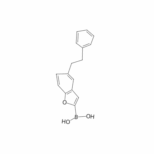 OB(O)c1cc2cc(CCc3ccccc3)ccc2o1